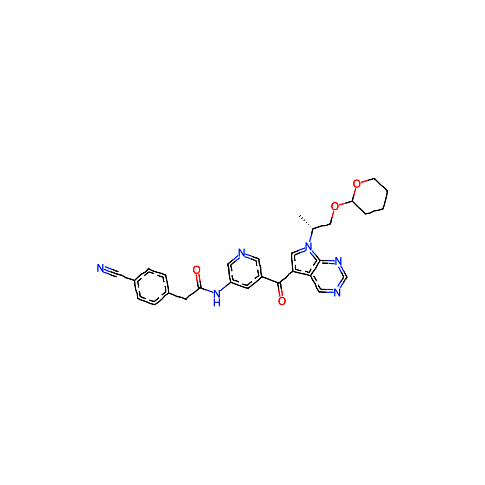 C[C@H](COC1CCCCO1)n1cc(C(=O)c2cncc(NC(=O)Cc3ccc(C#N)cc3)c2)c2cncnc21